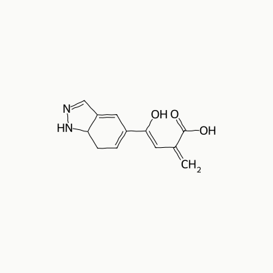 C=C(/C=C(\O)C1=CCC2NN=CC2=C1)C(=O)O